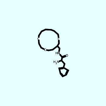 NC(Cc1ccccc1)C(=O)NCC1CCCCCCCCCCCCCC1